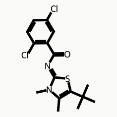 Cc1c(C(C)(C)C)s/c(=N\C(=O)c2cc(Cl)ccc2Cl)n1C